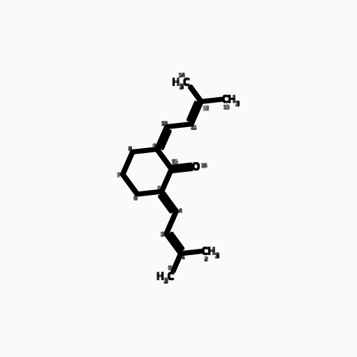 CC(C)=CC=C1CCCC(=CC=C(C)C)C1=O